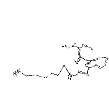 CN(C)c1nc(NCCCCCCN)nc2ccccc12